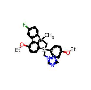 CCOc1ccc([Si](Cn2cncn2)(C[Si](C)(C)c2ccc(F)cc2)c2ccc(OCC)cc2)cc1